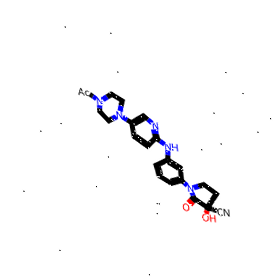 CC(=O)N1CCN(c2ccc(Nc3cccc(N4CCC(O)(C#N)C4=O)c3)nc2)CC1